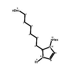 CCCCCCCCCCCCCCCCC1N(CC)C=CN1CCCCCC